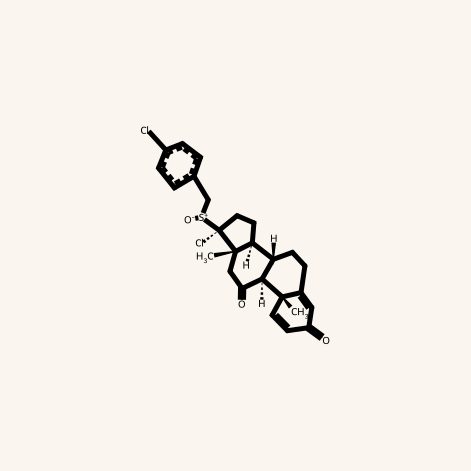 C[C@]12C=CC(=O)C=C1CC[C@@H]1[C@@H]2C(=O)C[C@@]2(C)[C@H]1CC[C@]2(Cl)[S+]([O-])Cc1ccc(Cl)cc1